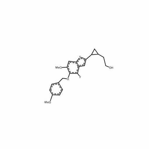 COc1ccc(COc2c(OC)cc3sc(C4CC4CCO)cc3c2F)cc1